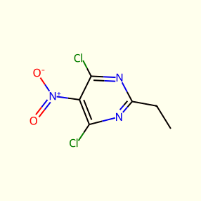 CCc1nc(Cl)c([N+](=O)[O-])c(Cl)n1